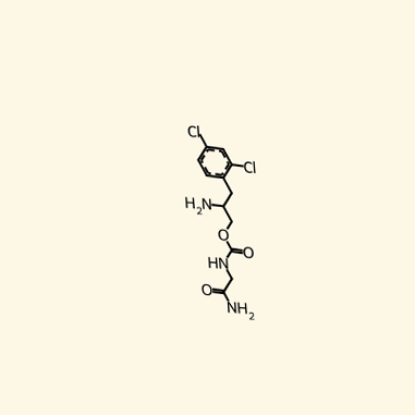 NC(=O)CNC(=O)OCC(N)Cc1ccc(Cl)cc1Cl